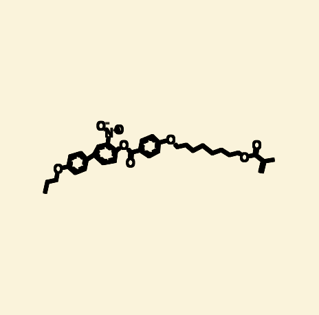 C=C(C)C(=O)OCCCCCCCCOc1ccc(C(=O)Oc2ccc(-c3ccc(OCCC)cc3)cc2[N+](=O)[O-])cc1